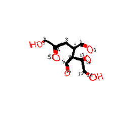 O=CC(CC(=O)CO)C(C=O)C(=O)CO